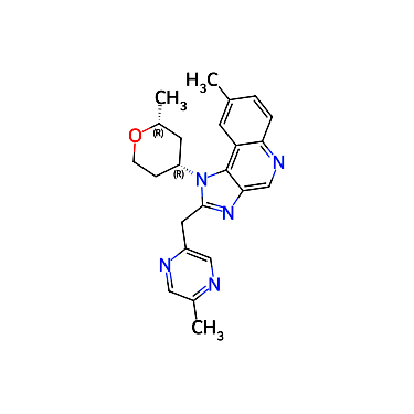 Cc1ccc2ncc3nc(Cc4cnc(C)cn4)n([C@@H]4CCO[C@H](C)C4)c3c2c1